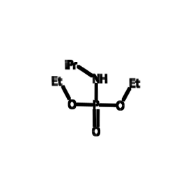 CCOP(=O)(NC(C)C)OCC